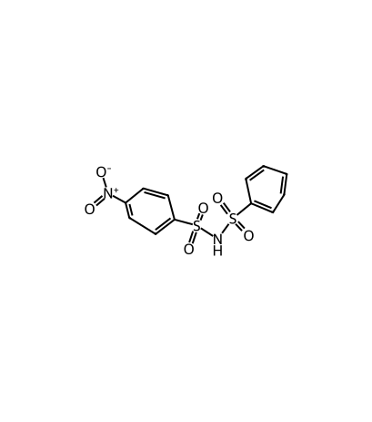 O=[N+]([O-])c1ccc(S(=O)(=O)NS(=O)(=O)c2ccccc2)cc1